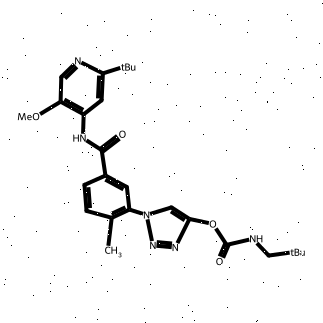 COc1cnc(C(C)(C)C)cc1NC(=O)c1ccc(C)c(-n2cc(OC(=O)NCC(C)(C)C)nn2)c1